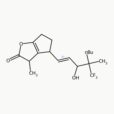 CCCCC(C)(C(O)/C=C/C1CCC2=C1C(C)C(=O)O2)C(F)(F)F